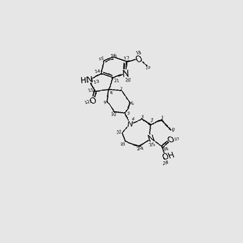 CCC1CN(C2CCC3(CC2)C(=O)Nc2ccc(OC)nc23)CCCN1C(=O)O